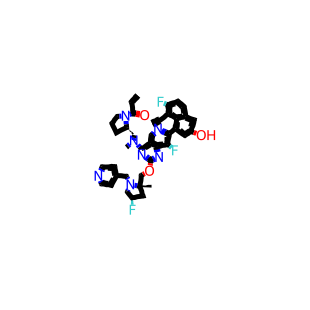 C#Cc1c(F)ccc2cc(O)cc(-c3ncc4c(N(C)C[C@@H]5CCCN5C(=O)C=C)nc(OC[C@]5(C)C[C@@H](F)CN5Cc5ccncc5)nc4c3F)c12